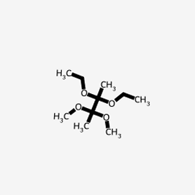 CCOC(C)(OCC)C(C)(OC)OC